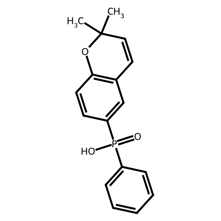 CC1(C)C=Cc2cc(P(=O)(O)c3ccccc3)ccc2O1